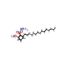 CCCCCCCCCCCCCCCc1cccc(O)c1C(=O)ON